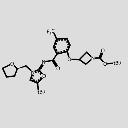 CC(C)(C)OC(=O)N1CC(Oc2ccc(C(F)(F)F)cc2C(=O)/N=c2\oc(C(C)(C)C)cn2C[C@H]2CCCO2)C1